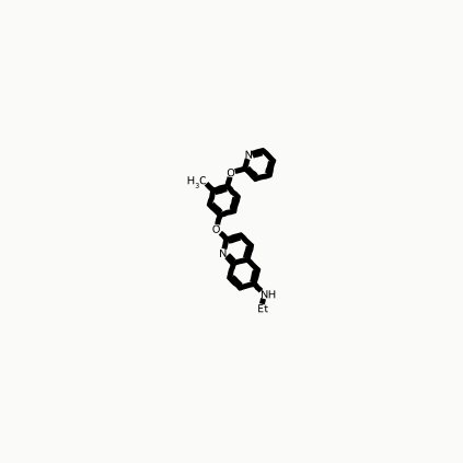 CCNc1ccc2nc(Oc3ccc(Oc4ccccn4)c(C)c3)ccc2c1